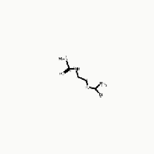 CCC(N)OCCNC(=O)OC